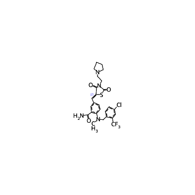 CN(Cc1ccc(Cl)cc1C(F)(F)F)c1ccc(/C=C2\SC(=O)N(CCN3CCCC3)C2=O)cc1C(N)=O